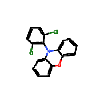 Clc1cccc(Cl)c1N1c2ccccc2Oc2ccccc21